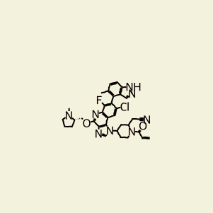 C=CC(=O)N1CCC(n2cnc3c(OC[C@@H]4CCCN4C)nc4c(F)c(-c5c(C)ccc6[nH]ncc56)c(Cl)cc4c32)CC1CC#N